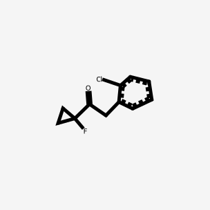 O=C(Cc1ccccc1Cl)C1(F)CC1